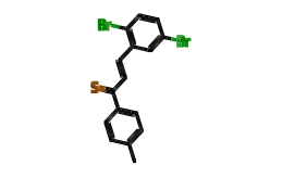 Cc1ccc(C(=S)C=Cc2cc(Br)ccc2Br)cc1